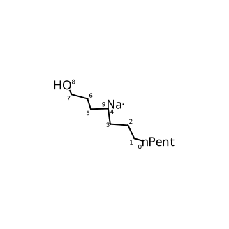 CCCCCCCCCCCCO.[Na]